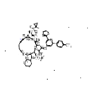 CC[C@@H]1O[C@H](C)CC/C=C\[C@@H]2C[C@@]2(C(=O)NS(=O)(=O)C2(C)CC2)NC(=O)[C@@H]2C[C@@H](Oc3cc(-c4ccc(C(F)(F)F)cc4)nc(-c4nccs4)c3)C(C(F)(F)F)N2C(=O)[C@H]1N(C(=O)O)C1CCCOC1